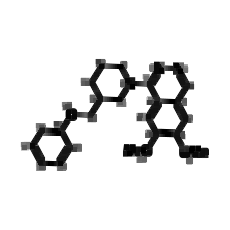 COc1cc2cnnc(N3CCCC(COc4ccccc4)C3)c2cc1OC